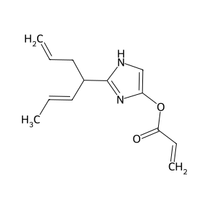 C=CCC(C=CC)c1nc(OC(=O)C=C)c[nH]1